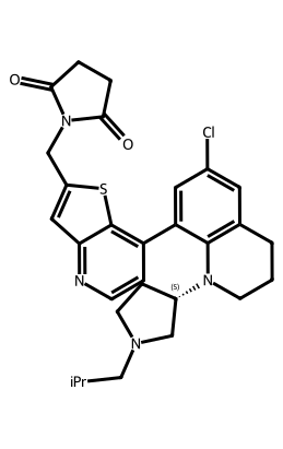 CC(C)CN1CC[C@H](N2CCCc3cc(Cl)cc(-c4ccnc5cc(CN6C(=O)CCC6=O)sc45)c32)C1